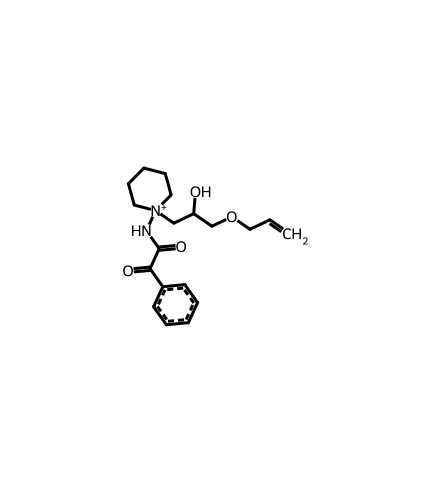 C=CCOCC(O)C[N+]1(NC(=O)C(=O)c2ccccc2)CCCCC1